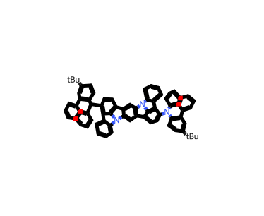 CC(C)(C)c1ccc(C(c2ccccc2)c2ccc3c4cc5c(cc4n4c6ccccc6c2c34)c2ccc(N(c3ccccc3)c3ccc(C(C)(C)C)cc3-c3ccccc3)c3c4ccccc4n5c23)c(-c2ccccc2)c1